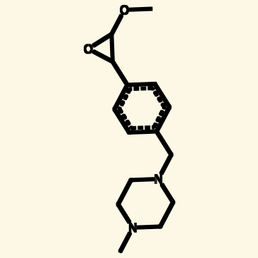 COC1OC1c1ccc(CN2CCN(C)CC2)cc1